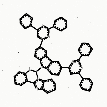 c1ccc(-c2cc(-c3ccc4c(c3)c3cc(-c5cc(-c6ccccc6)nc(-c6ccccc6)n5)ccc3n4C3Nc4ccccc4-c4nc5ccccc5n43)nc(-c3ccccc3)n2)cc1